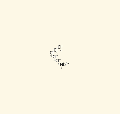 [Cl-].[Cl-].[Cl-].[Cl-].[Cl-].[Nb+5]